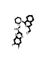 O=Cc1cc2ccccc2c(N2CCCC[C@H]2CNc2cnc3cc(F)c(F)cc3n2)n1